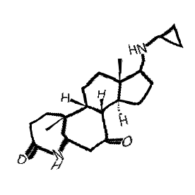 C[C@]12CCC(=O)NC1CC(=O)[C@@H]1[C@H]2CC[C@]2(C)C(NC3CC3)CC[C@@H]12